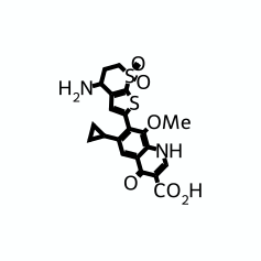 COc1c(-c2cc3c(s2)S(=O)(=O)CCC3N)c(C2CC2)cc2c(=O)c(C(=O)O)c[nH]c12